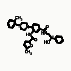 Cc1ccc(C(=O)Nc2cc(C(=O)NC[C@H](O)c3ccccc3)ccc2N2CCN(c3ccccc3C)CC2)o1